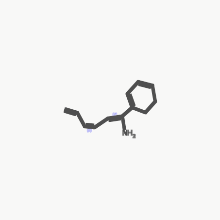 C=C/C=C\C=C(/N)C1=CC=CCC1